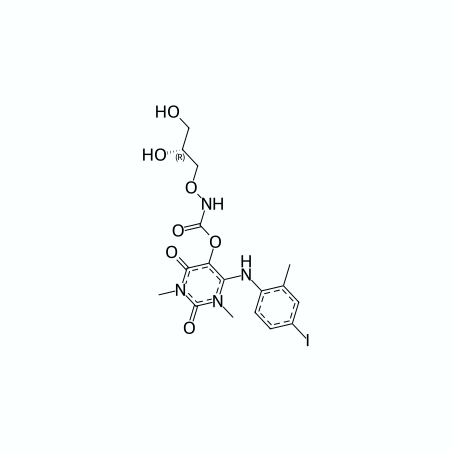 Cc1cc(I)ccc1Nc1c(OC(=O)NOC[C@H](O)CO)c(=O)n(C)c(=O)n1C